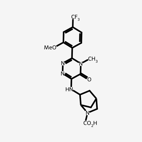 COc1cc(C(F)(F)F)ccc1-c1nnc(NC2CC3CC2N(C(=O)O)C3)c(=O)n1C